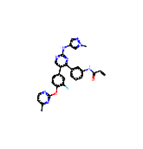 C=CC(=O)Nc1cccc(-c2nc(Nc3cnn(C)c3)ncc2-c2ccc(Oc3nccc(C)n3)c(F)c2)c1